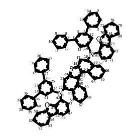 c1ccc(-c2cc(-c3ccccc3)cc(N(c3cc4sc5cc(N(c6cc(-c7ccccc7)cc(-c7ccccc7)c6)c6cccc7c6oc6ccccc67)c6ccccc6c5c4c4ccccc34)c3cccc4c3oc3ccccc34)c2)cc1